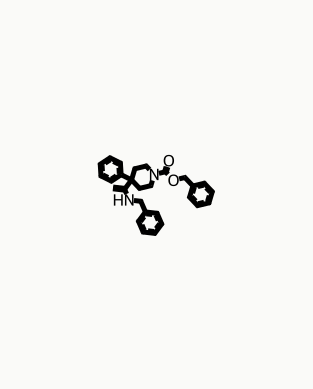 C=C(NCc1ccccc1)C1(c2ccccc2)CCN(C(=O)OCc2ccccc2)CC1